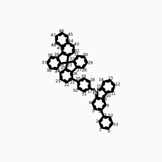 c1ccc(-c2ccc3c(c2)c2ccccc2n3-c2ccc(-c3cccc4c3-c3ccccc3C43c4ccccc4-c4c3ccc3ccccc43)cc2)cc1